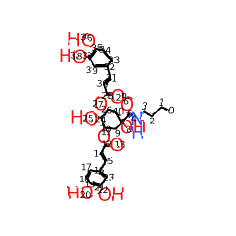 CCCCNC(=O)C1(O)C[C@@H](OC(=O)C=Cc2ccc(O)c(O)c2)C(O)[C@H](OC(=O)/C=C/c2ccc(O)c(O)c2)C1